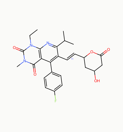 CCn1c(=O)n(C)c(=O)c2c(-c3ccc(F)cc3)c(/C=C/C3CC(O)CC(=O)O3)c(C(C)C)nc21